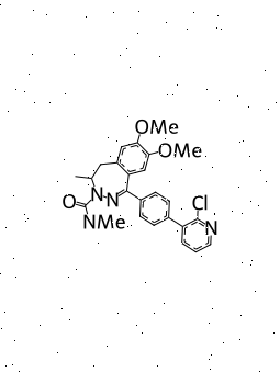 CNC(=O)N1N=C(c2ccc(-c3cccnc3Cl)cc2)c2cc(OC)c(OC)cc2CC1C